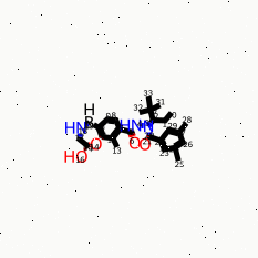 CCC(N(NC(=O)c1ccc2c(c1C)O[C@@H](O)CNB2)C(=O)c1cc(C)cc(C)c1)C(C)(C)C